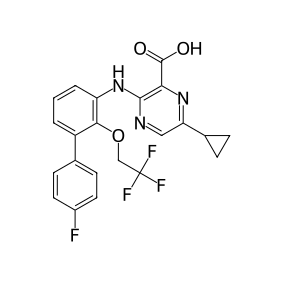 O=C(O)c1nc(C2CC2)cnc1Nc1cccc(-c2ccc(F)cc2)c1OCC(F)(F)F